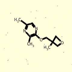 Cc1cnc(OCC2(C)COC2)c(C)n1